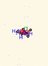 CC(C)C[C@H](NC(=O)N(Cc1ccccc1Cl)C[C@@H](O)[C@H](Cc1ccccc1)NC(=O)OCc1ccccc1)C(=O)N[C@@H](Cc1ccccc1)C(N)=O